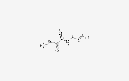 C=CCOC(=O)C(=S)SC